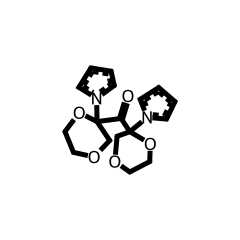 O=C(C1(n2cccc2)COCCO1)C1(n2cccc2)COCCO1